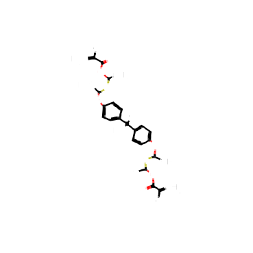 C=C(C)C(=O)OC(C)SC(C)Oc1ccc(C(C)(C)c2ccc(OC(C)SC(C)OC(=O)C(=C)C)cc2)cc1